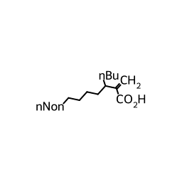 C=C(C(=O)O)C(CCCC)CCCCCCCCCCCCC